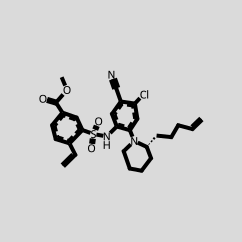 C=CCCC[C@@H]1CCCCN1c1cc(Cl)c(C#N)cc1NS(=O)(=O)c1cc(C(=O)OC)ccc1C=C